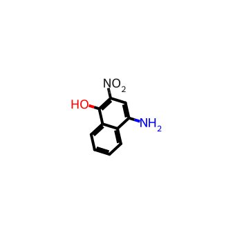 Nc1cc([N+](=O)[O-])c(O)c2ccccc12